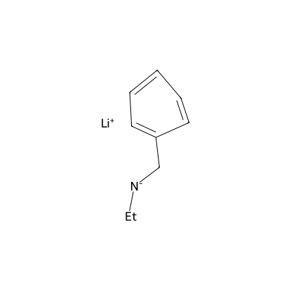 CC[N-]Cc1ccccc1.[Li+]